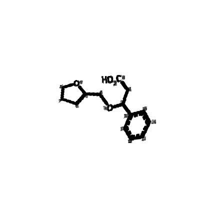 O=C(O)CC(OCC1CCCO1)c1ccccc1